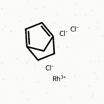 C1=C2CCC(=C1)C2.[Cl-].[Cl-].[Cl-].[Rh+3]